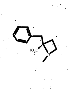 CN1CC[C@]1(Cc1ccccc1)C(=O)O